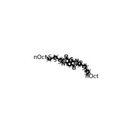 CCCCCCCCc1ccc(-c2ccc(-c3cc4c(nc5c6ccc7c(=O)n8c9cc(-c%10ccc(-c%11ccc(CCCCCCCC)s%11)s%10)sc9nc8c8sc(c(=O)n45)c6c78)s3)s2)s1